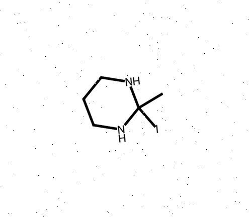 CC1(I)NCCCN1